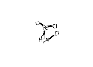 [AlH2][Cl].[Cl][Fe]([Cl])[Cl]